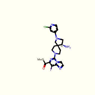 COC(=O)c1nc(N2CCC3(CC2)CN(c2ccnc(Cl)c2)C[C@H]3N)n2ccnc2c1I